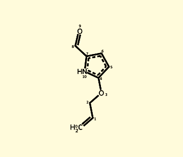 C=CCOc1ccc(C=O)[nH]1